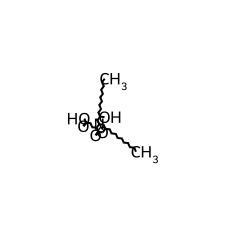 CCCCCCCCCCC(O)CN1CC(CCCCCCCCCC)OC(=O)C1CCC(=O)O